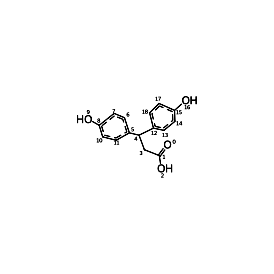 O=C(O)CC(c1ccc(O)cc1)c1ccc(O)cc1